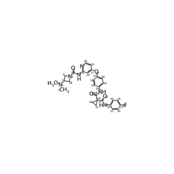 CN(C)C1CN(C(=O)Nc2cc(Oc3ccc(NC(=O)C4(C(=O)Nc5ccc(F)cc5)CC4)cc3)ccn2)C1